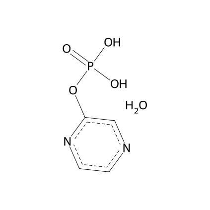 O.O=P(O)(O)Oc1cnccn1